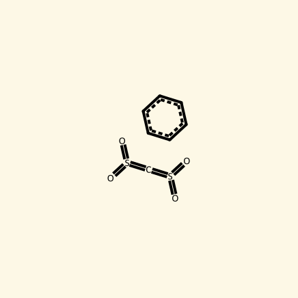 O=S(=O)=C=S(=O)=O.c1ccccc1